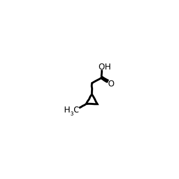 CC1CC1CC(=O)O